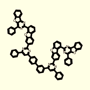 c1ccc(-c2cc(-c3ccc(-c4cccc(-c5cc(-c6ccccc6)nc(-c6ccc7c(c6)oc6cccc(-c8nc(-c9ccccc9)c9oc%10ccccc%10c9n8)c67)n5)c4)cc3)nc(-c3ccc4c(c3)oc3c(-c5nc(-c6ccccc6)c6oc7ccccc7c6n5)cccc34)n2)cc1